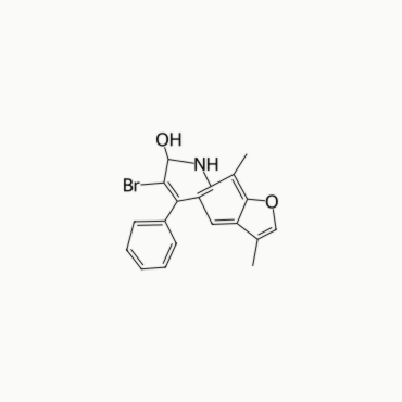 Cc1coc2c(C)c3c(cc12)C(c1ccccc1)=C(Br)C(O)N3